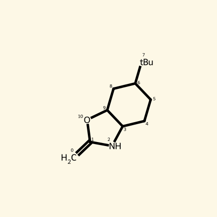 C=C1NC2CCC(C(C)(C)C)CC2O1